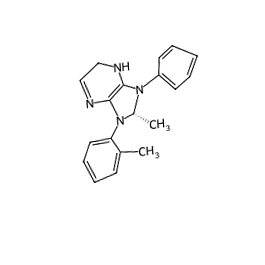 Cc1ccccc1N1C2=C(NCC=N2)N(c2ccccc2)[C@@H]1C